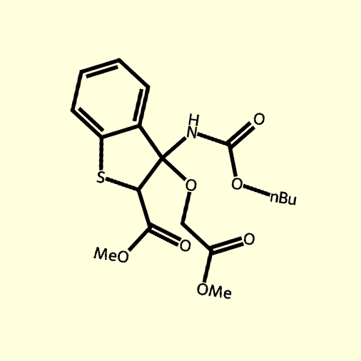 CCCCOC(=O)NC1(OCC(=O)OC)c2ccccc2SC1C(=O)OC